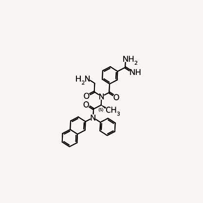 C[C@@H](C(=O)N(c1ccccc1)c1ccc2ccccc2c1)N(C(=O)CN)C(=O)c1cccc(C(=N)N)c1